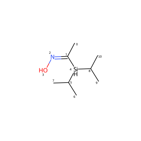 CC(=NO)[SiH](C(C)C)C(C)C